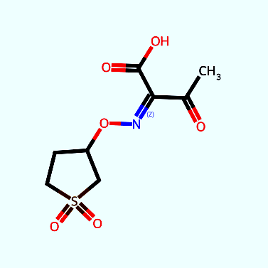 CC(=O)/C(=N/OC1CCS(=O)(=O)C1)C(=O)O